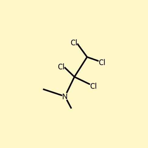 CN(C)C(Cl)(Cl)C(Cl)Cl